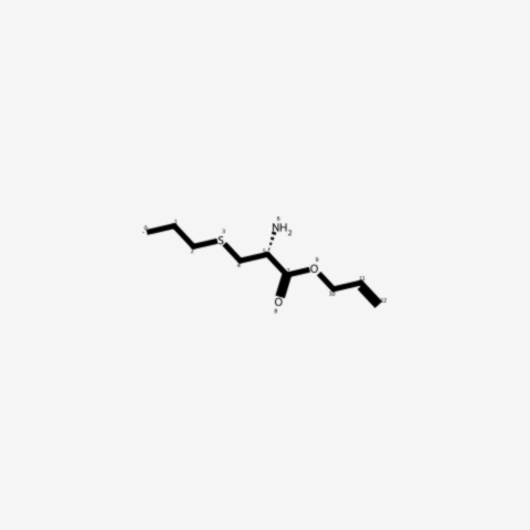 [CH2][CH]CSC[C@H](N)C(=O)OCC=C